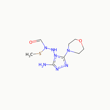 CSN(C=O)Nn1c(N)nnc1N1CCOCC1